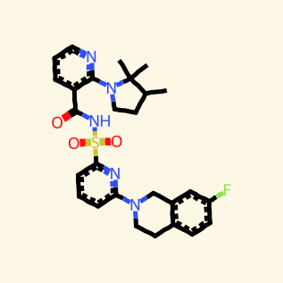 CC1CCN(c2ncccc2C(=O)NS(=O)(=O)c2cccc(N3CCc4ccc(F)cc4C3)n2)C1(C)C